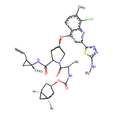 C=CC1C[C@@]1(C=O)NC(=O)C1C[C@@H](Oc2cc(-c3nnc(NC(C)C)s3)nc3c(Cl)c(OC)ccc23)CN1C(=O)C(NC(=O)O[C@@H]1C[C@@H]2C[C@@H]2C1)C(C)(C)C